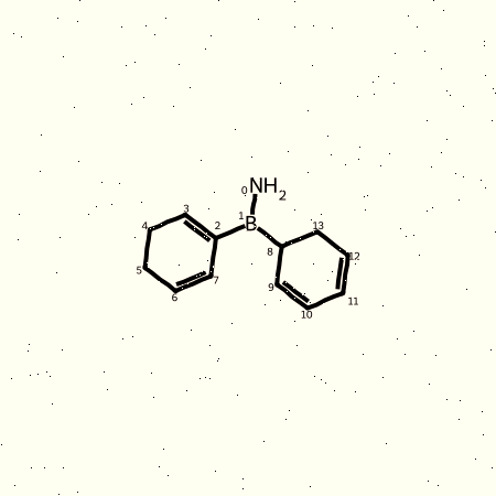 NB(C1=CCCC=C1)C1C=CC=CC1